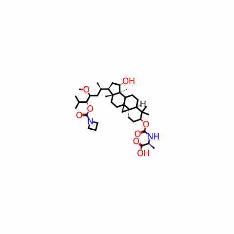 COC(C[C@@H](C)[C@H]1C[C@H](O)[C@@]2(C)C3CC[C@H]4C(C)(C)[C@@H](OC(=O)N[C@@H](C)C(=O)O)CC[C@@]45C[C@@]35CC[C@]12C)[C@H](OC(=O)N1CCC1)C(C)C